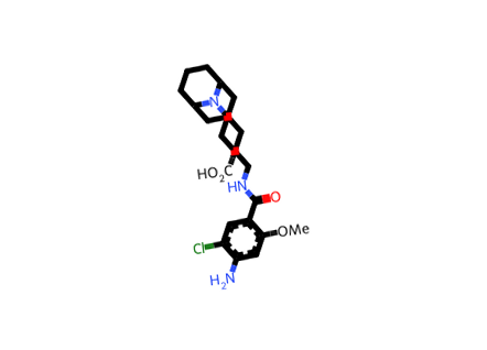 COc1cc(N)c(Cl)cc1C(=O)NCCCC1CC2CCCC(C1)N2CCCC(=O)O